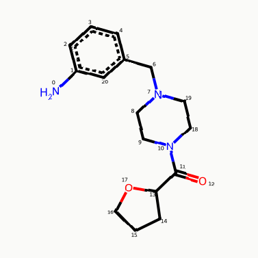 Nc1cccc(CN2CCN(C(=O)C3CCCO3)CC2)c1